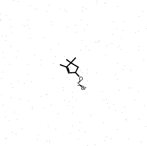 CC1=CC(OSBr)CC1(C)C